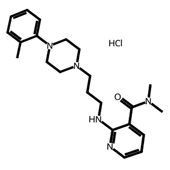 Cc1ccccc1N1CCN(CCCNc2ncccc2C(=O)N(C)C)CC1.Cl